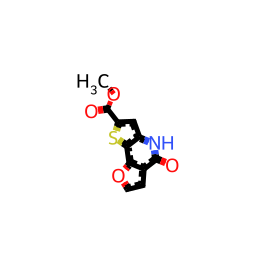 COC(=O)c1cc2[nH]c(=O)c3ccoc3c2s1